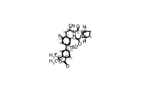 CC(C)(C)OC(=O)N1[C@@H]2CC[C@@H](C2)[C@H]1C(=O)N[C@H](C#N)Cc1ccc(-c2ccc3c(c2)C(C)(C)OC3=O)cc1F